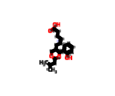 CC(C)CC1OCC(C/C=C\CCC(=O)O)C(c2ccccc2O)O1